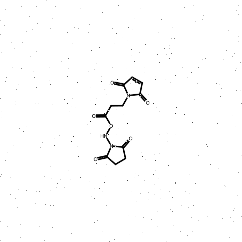 O=C(CCN1C(=O)C=CC1=O)ONN1C(=O)CCC1=O